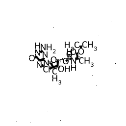 CC(C)OC(=O)[C@H](C)N[PH](=O)OC[C@H]1O[C@@H](n2cnc3c(=O)[nH]c(N)nc32)[C@](C)(Cl)[C@@H]1O